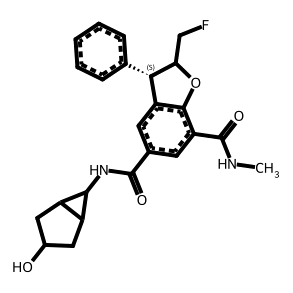 CNC(=O)c1cc(C(=O)NC2C3CC(O)CC32)cc2c1OC(CF)[C@H]2c1ccccc1